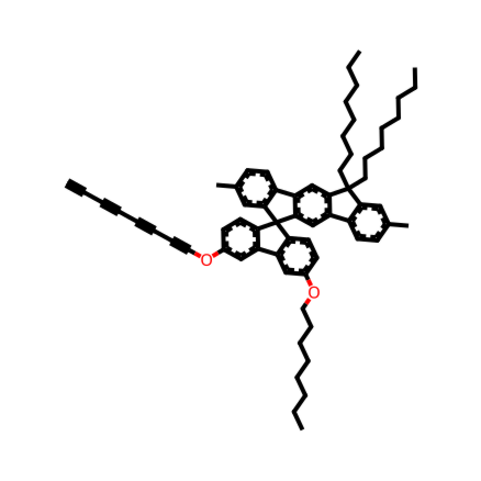 C#CC#CC#CC#COc1ccc2c(c1)-c1cc(OCCCCCCCC)ccc1C21c2cc(C)ccc2-c2cc3c(cc21)-c1ccc(C)cc1C3(CCCCCCCC)CCCCCCCC